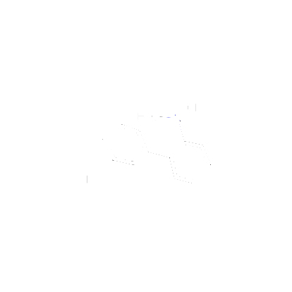 Cc1cccc(-c2ccccc2N(C)C)c1